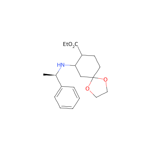 CCOC(=O)C1CCC2(CC1N[C@H](C)c1ccccc1)OCCO2